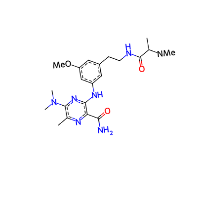 CNC(C)C(=O)NCCc1cc(Nc2nc(N(C)C)c(C)nc2C(N)=O)cc(OC)c1